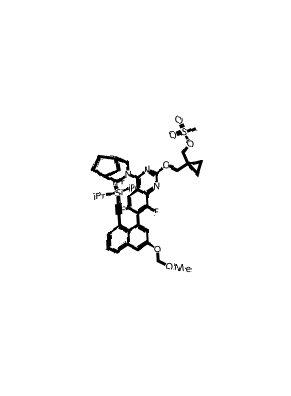 COCOc1cc(-c2c(F)cc3c(N4CC5CCC(C5)C4)nc(OCC4(COS(C)(=O)=O)CC4)nc3c2F)c2c(C#C[Si](C(C)C)(C(C)C)C(C)C)cccc2c1